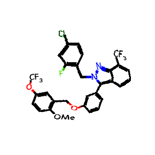 COc1ccc(OC(F)(F)F)cc1COc1cccc(-c2c3cccc(C(F)(F)F)c3nn2Cc2ccc(Cl)cc2F)c1